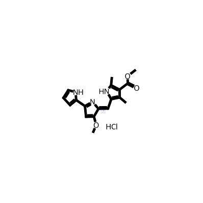 COC(=O)c1c(C)[nH]c(/C=C2\N=C(c3ccc[nH]3)C=C2OC)c1C.Cl